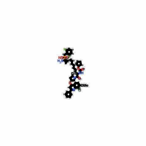 COc1ccc2c(O[C@@H]3C[C@@H](C=O)N(C(=O)[C@H](CCCCC/C=C\[C@@H]4C[C@]4(N)P(=O)(O)Cc4c(F)cccc4F)NC(=O)OC4CCCC4)C3)cc(-c3ccccc3)nc2c1Cl